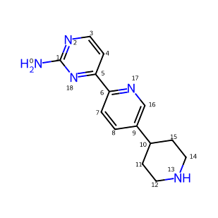 Nc1nccc(-c2ccc(C3CCNCC3)cn2)n1